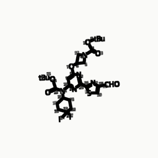 CC(C)(C)OC(=O)N1CC(Oc2cc(N(C(=O)OC(C)(C)C)C3CCC(F)(F)CC3)nc(-c3nc(C=O)cs3)n2)C1